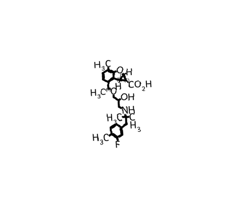 Cc1ccc(CC(C)(C)NCC(O)CO[C@H](C)c2ccc(C)c3c2[C@@H]2[C@H](O3)[C@H]2C(=O)O)cc1F